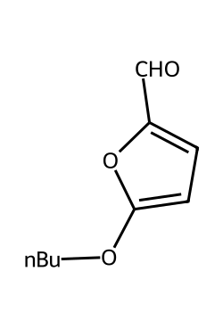 CCCCOc1ccc(C=O)o1